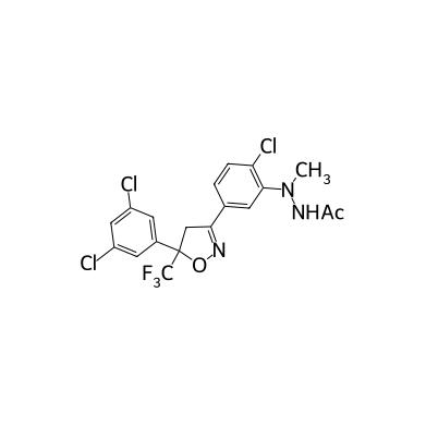 CC(=O)NN(C)c1cc(C2=NOC(c3cc(Cl)cc(Cl)c3)(C(F)(F)F)C2)ccc1Cl